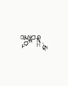 Cc1ccc(CCCNC(=O)c2ccc3nc(N4CCOCC4)c(-c4ccc(F)cc4)nc3c2)cn1